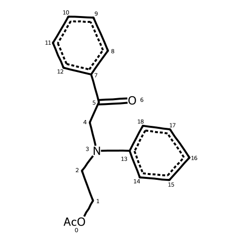 CC(=O)OCCN(CC(=O)c1ccccc1)c1ccccc1